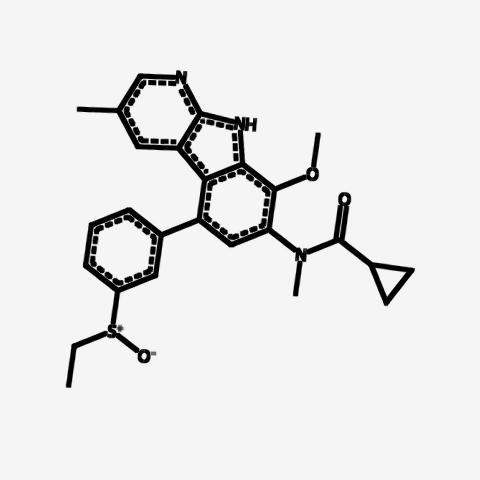 CC[S+]([O-])c1cccc(-c2cc(N(C)C(=O)C3CC3)c(OC)c3[nH]c4ncc(C)cc4c23)c1